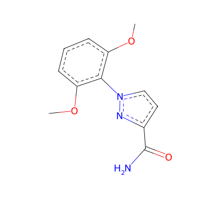 COc1cccc(OC)c1-n1ccc(C(N)=O)n1